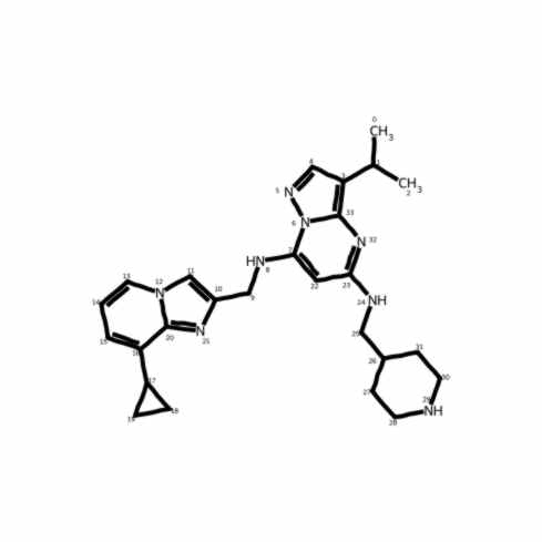 CC(C)c1cnn2c(NCc3cn4cccc(C5CC5)c4n3)cc(NCC3CCNCC3)nc12